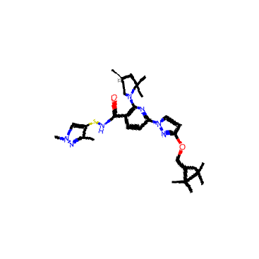 Cc1nn(C)cc1SNC(=O)c1ccc(-n2ccc(OCC3C(C)(C)C3(C)C)n2)nc1N1C[C@@H](C)CC1(C)C